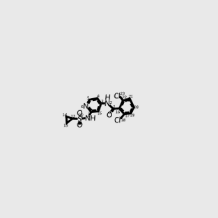 O=C(Nc1ccnc(NS(=O)(=O)C2CC2)c1)c1c(Cl)cccc1Cl